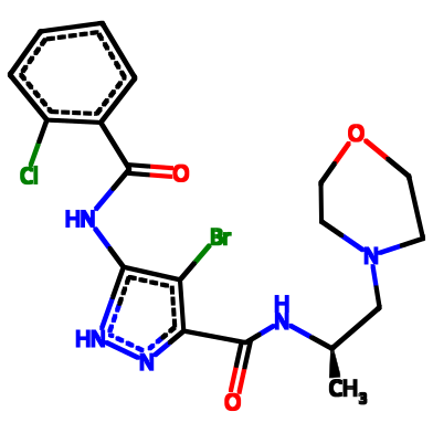 C[C@H](CN1CCOCC1)NC(=O)c1n[nH]c(NC(=O)c2ccccc2Cl)c1Br